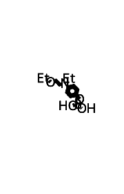 CCOCCN(CC)c1ccc(OB(O)O)cc1